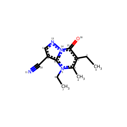 CCc1c(C)n(CC)c2c(C#N)cnn2c1=O